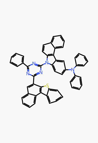 c1ccc(-c2nc(-c3cc4ccccc4c4c3sc3ccccc34)nc(-n3c4ccc(N(c5ccccc5)c5ccccc5)cc4c4c5ccccc5ccc43)n2)cc1